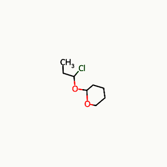 CCC(Cl)OC1CCCCO1